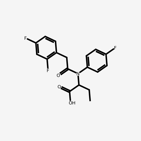 CCC(C(=O)O)N(C(=O)Cc1ccc(F)cc1F)c1ccc(F)cc1